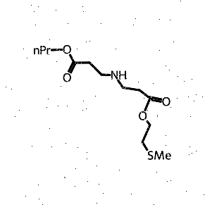 CCCOC(=O)CCNCCC(=O)OCCSC